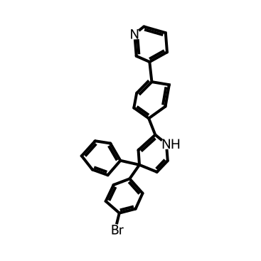 Brc1ccc(C2(c3ccccc3)C=CNC(c3ccc(-c4cccnc4)cc3)=C2)cc1